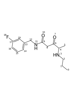 CCCNC(C)C(=O)CC(=O)NCc1cccc(F)c1